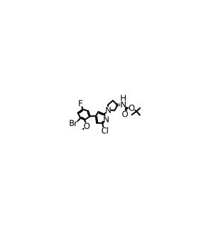 COc1c(Br)cc(F)cc1-c1cc(Cl)nc(N2CC[C@H](NC(=O)OC(C)(C)C)C2)c1